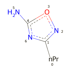 CCCc1noc(N)n1